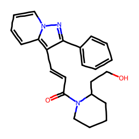 O=C(C=Cc1c(-c2ccccc2)nn2ccccc12)N1CCCCC1CCO